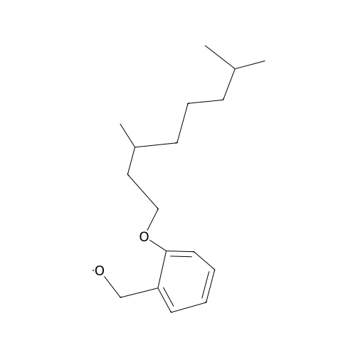 CC(C)CCCC(C)CCOc1ccccc1C[O]